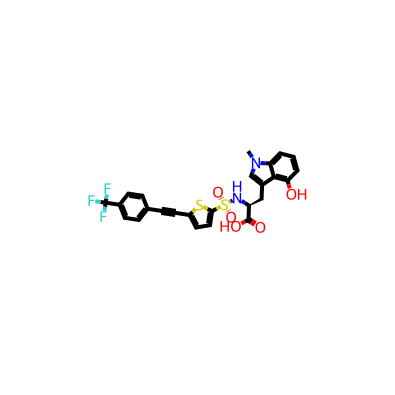 Cn1cc(C[C@H](NS(=O)(=O)c2ccc(C#Cc3ccc(C(F)(F)F)cc3)s2)C(=O)O)c2c(O)cccc21